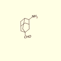 NC1C2CC3CC1CC(C=O)(C3)C2